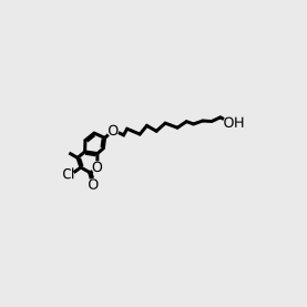 Cc1c(Cl)c(=O)oc2cc(OCCCCCCCCCCCCO)ccc12